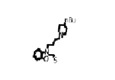 CCCCC1CCN(CCCCN2c3ccccc3OC2C=S)CC1